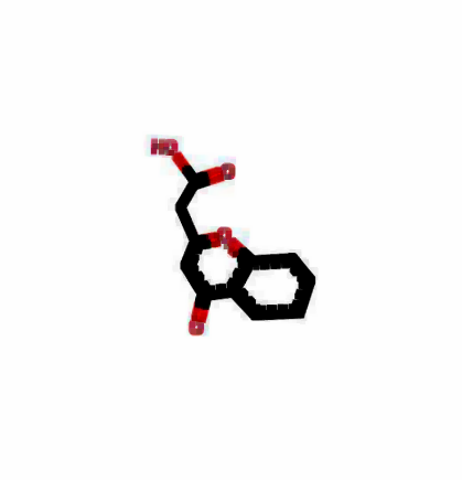 O=C(O)Cc1cc(=O)c2ccccc2o1